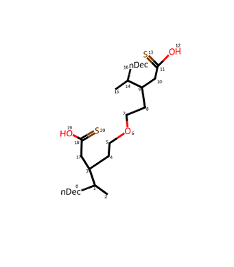 CCCCCCCCCCC(C)C(CCOCCC(CC(O)=S)C(C)CCCCCCCCCC)CC(O)=S